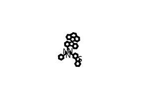 c1ccc(-c2nc(-c3ccc4sc5ccccc5c4c3)nc(-c3cccc4c3-c3ccccc3C43c4cccc5ccc6cccc3c6c45)n2)cc1